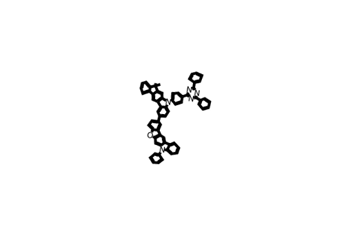 CC1(C)c2ccccc2-c2cc3c4cc(-c5ccc6oc7cc8c(cc7c6c5)c5ccccc5n8-c5ccccc5)ccc4n(-c4ccc(-c5nc(-c6ccccc6)nc(-c6ccccc6)n5)cc4)c3cc21